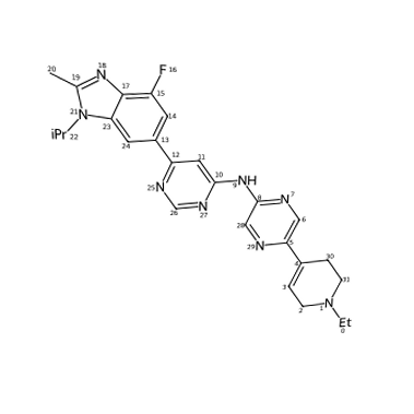 CCN1CC=C(c2cnc(Nc3cc(-c4cc(F)c5nc(C)n(C(C)C)c5c4)ncn3)cn2)CC1